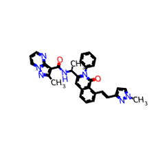 Cc1nn2cccnc2c1C(=O)N[C@@H](C)c1cc2cccc(/C=C/c3ccn(C)n3)c2c(=O)n1-c1ccccc1